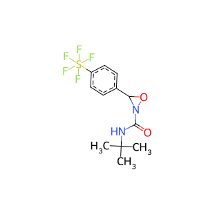 CC(C)(C)NC(=O)N1OC1c1ccc(S(F)(F)(F)(F)F)cc1